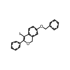 IC1=C(c2ccccc2)OCc2cc(OCc3ccccc3)ccc21